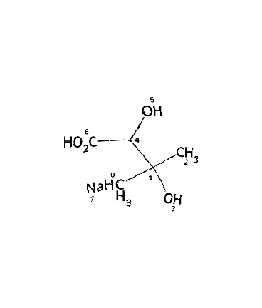 CC(C)(O)C(O)C(=O)O.[NaH]